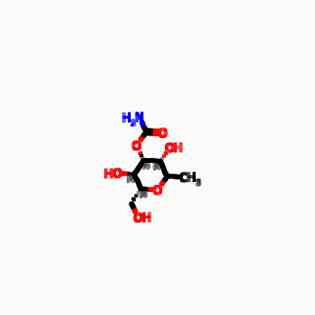 CC1O[C@H](CO)[C@@H](O)[C@H](OC(N)=O)[C@@H]1O